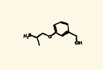 BC(C)COc1cccc(CO)c1